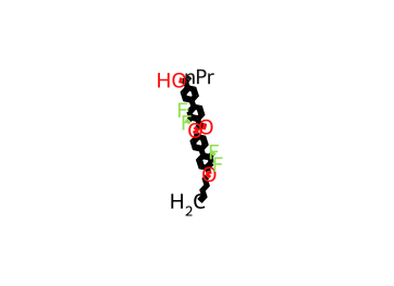 C=CCCCOc1ccc(-c2ccc(OC(=O)c3ccc(-c4ccc(C(O)CCC)cc4)c(F)c3F)cc2)c(F)c1F